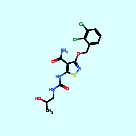 CC(O)CNC(=O)Nc1snc(OCc2cccc(Cl)c2Cl)c1C(N)=O